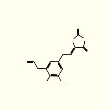 C=CCc1cc(C/C=C2\SC(=S)NC2=O)cc(OC)c1O